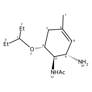 CCC(CC)O[C@@H]1CC(C)=C[C@H](N)[C@H]1NC(C)=O